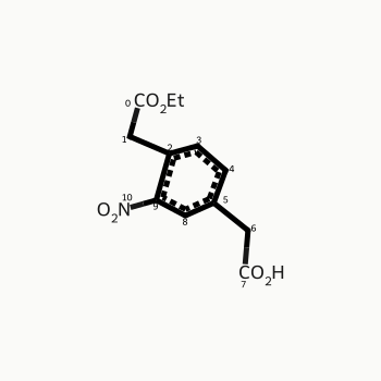 CCOC(=O)Cc1ccc(CC(=O)O)cc1[N+](=O)[O-]